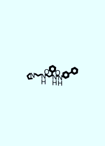 O=C(CC(NC(=O)Nc1ccc(-c2ccccc2)cc1)c1ccccc1)NCCCN1CCCC1